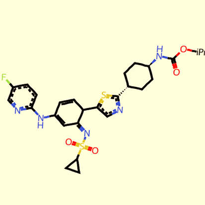 CC(C)OC(=O)N[C@H]1CC[C@H](c2ncc(C3C=CC(Nc4ccc(F)cn4)=CC3=NS(=O)(=O)C3CC3)s2)CC1